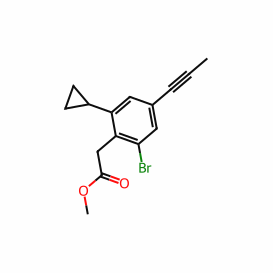 CC#Cc1cc(Br)c(CC(=O)OC)c(C2CC2)c1